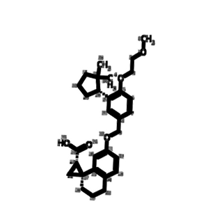 COCCOc1ccc(COc2ccc3c(c2)[C@@]2(CCC3)C[C@@H]2C(=O)O)cc1[C@@H]1CCCC1(C)C